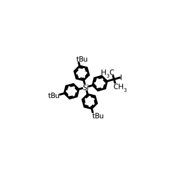 CC(C)(C)c1ccc([Si](c2ccc(C(C)(C)C)cc2)(c2ccc(C(C)(C)C)cc2)c2ccc(C(C)(C)I)cc2)cc1